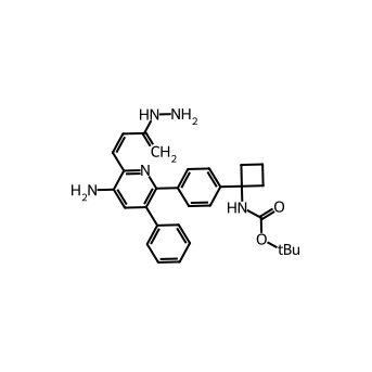 C=C(/C=C\c1nc(-c2ccc(C3(NC(=O)OC(C)(C)C)CCC3)cc2)c(-c2ccccc2)cc1N)NN